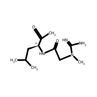 CC(=O)[C@H](CC(C)C)NC(=O)CN(C)C(=N)N